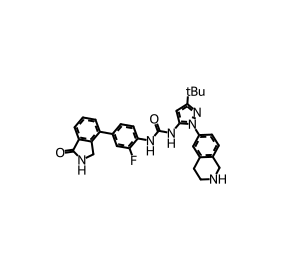 CC(C)(C)c1cc(NC(=O)Nc2ccc(-c3cccc4c3CNC4=O)cc2F)n(-c2ccc3c(c2)CCNC3)n1